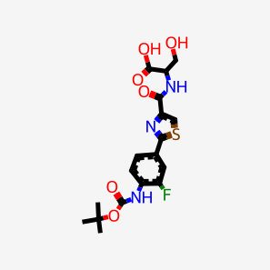 CC(C)(C)OC(=O)Nc1ccc(-c2nc(C(=O)NC(CO)C(=O)O)cs2)cc1F